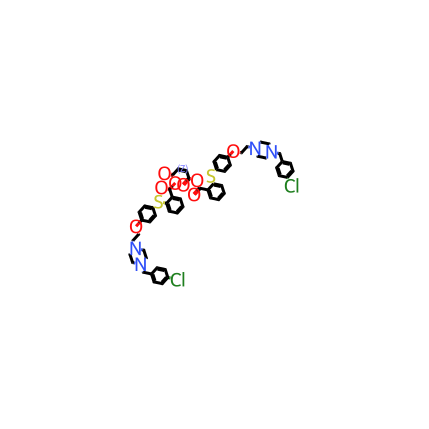 O=C(/C=C\C(=O)OC(=O)c1ccccc1Sc1ccc(OCCN2CCN(Cc3ccc(Cl)cc3)CC2)cc1)OC(=O)c1ccccc1Sc1ccc(OCCN2CCN(Cc3ccc(Cl)cc3)CC2)cc1